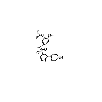 COc1ccc(N(C)S(=O)(=O)c2ccc(C)c(N3CCNCC3)c2)cc1OC(F)F